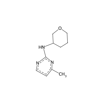 Cc1ccnc(NC2CCCOC2)n1